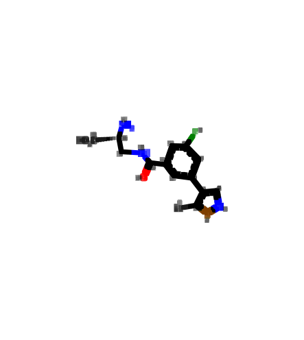 CCc1sncc1-c1cc(F)cc(C(=O)NC[C@@H](N)C(=O)O)c1